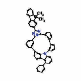 C[Si]1(C)c2ccccc2-c2ccc(-c3nc4nc(n3)-c3cccc(c3)-c3ccc5c6c(-c7ccccc7)cccc6n(c5c3)-c3cccc(c3)-c3cccc-4c3)cc21